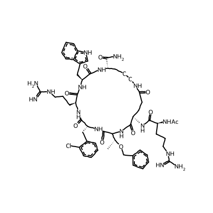 CC(=O)N[C@@H](CCCNC(=N)N)C(=O)N[C@H]1CCC(=O)NCCC[C@@H](C(N)=O)NC(=O)[C@H](Cc2c[nH]c3ccccc23)NC(=O)[C@H](CCCNC(=N)N)NC(=O)[C@@H](Cc2ccccc2Cl)NC(=O)C([C@@H](C)OCc2ccccc2)NC1=O